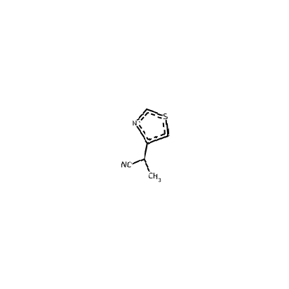 CC(C#N)c1cscn1